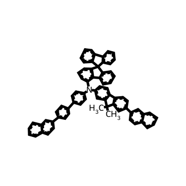 CC1(C)c2cc(-c3ccc4ccccc4c3)ccc2-c2ccc(N(c3ccc(-c4ccc(-c5ccc6ccccc6c5)cc4)cc3)c3cccc4c3-c3ccccc3C43c4ccccc4-c4ccccc43)cc21